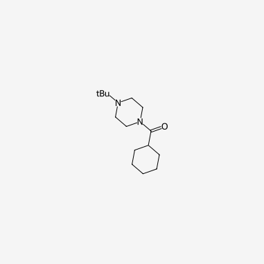 CC(C)(C)N1CCN(C(=O)C2CCCCC2)CC1